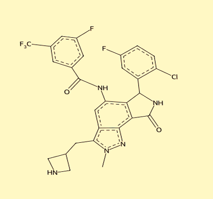 Cn1nc2c3c(c(NC(=O)c4cc(F)cc(C(F)(F)F)c4)cc2c1CC1CNC1)C(c1cc(F)ccc1Cl)NC3=O